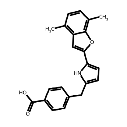 Cc1ccc(C)c2oc(-c3ccc(Cc4ccc(C(=O)O)cc4)[nH]3)cc12